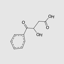 O=C(O)CC(O)C(=O)c1ccccc1